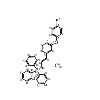 Fc1ccc(Oc2cccc(C=CC[P+](c3ccccc3)(c3ccccc3)c3ccccc3)c2)cc1.[Cl-]